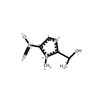 CC(O)c1ncc([N+](=O)[O-])n1C